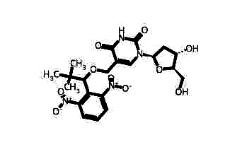 CC(C)(C)C(OCc1cn([C@H]2C[C@H](O)[C@@H](CO)O2)c(=O)[nH]c1=O)c1c([N+](=O)[O-])cccc1[N+](=O)[O-]